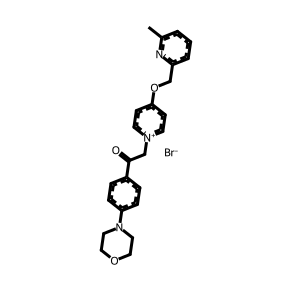 Cc1cccc(COc2cc[n+](CC(=O)c3ccc(N4CCOCC4)cc3)cc2)n1.[Br-]